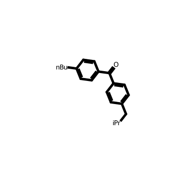 CCCCc1ccc(C(=O)c2ccc(CC(C)C)cc2)cc1